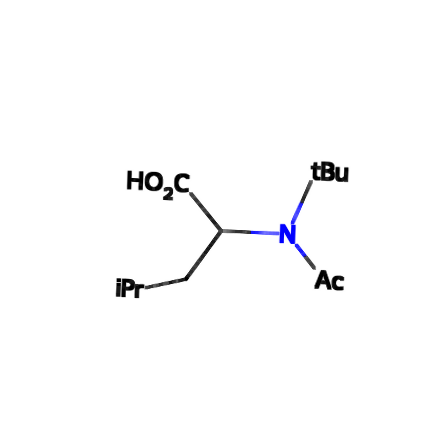 CC(=O)N(C(CC(C)C)C(=O)O)C(C)(C)C